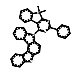 C[Si]1(C)c2ccccc2-c2c(-n3c4ccccc4c4c5c(ccc43)oc3ccccc35)nc(-c3ccccc3)nc21